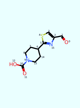 O=Cc1csc(C2CCN(C(=O)O)CC2)n1